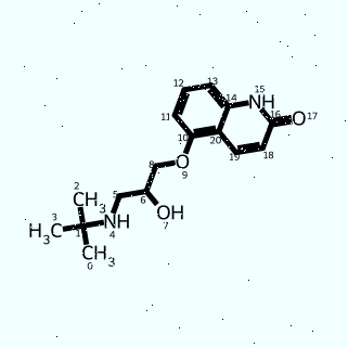 CC(C)(C)NCC(O)COc1cccc2[nH]c(=O)ccc12